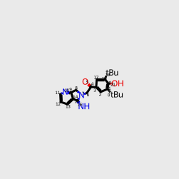 CC(C)(C)c1cc(C(=O)CN2Cc3ncccc3C2=N)cc(C(C)(C)C)c1O